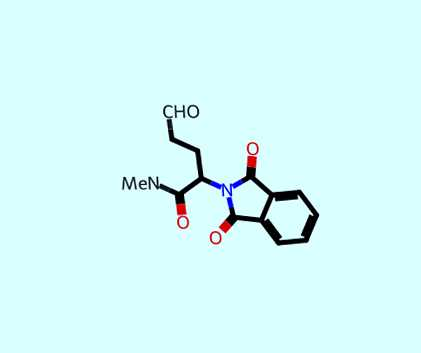 CNC(=O)C(CCC=O)N1C(=O)c2ccccc2C1=O